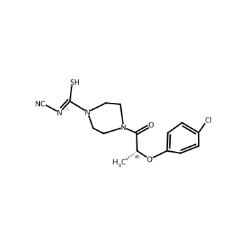 C[C@@H](Oc1ccc(Cl)cc1)C(=O)N1CCN(/C(S)=N/C#N)CC1